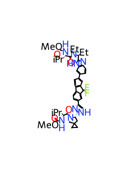 CC[C@@H](c1nc2ccc(-c3ccc4c(c3)C(F)(F)c3cc(-c5c[nH]c([C@@H]6CC7(CC7)CN6C(=O)[C@@H](NC(=O)OC)C(C)C)n5)ccc3-4)cc2[nH]1)N(CC)C(=O)[C@@H](NC(=O)OC)C(C)C